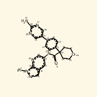 CC(C)n1ncc2cc(NC(=O)C3(c4ccc(-c5cnc(N)nc5)cc4)CCOCC3)cnc21